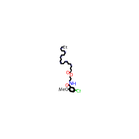 CC/C=C\C/C=C\C/C=C\C/C=C\C/C=C\C/C=C\CCC(=O)OCCCNC(=O)c1cc(Cl)ccc1OC